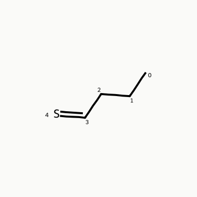 CCCC=S